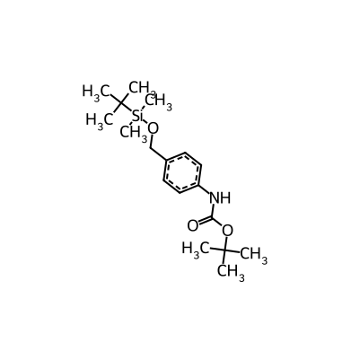 CC(C)(C)OC(=O)Nc1ccc(CO[Si](C)(C)C(C)(C)C)cc1